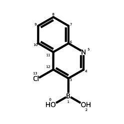 OB(O)c1cnc2ccccc2c1Cl